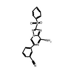 N#Cc1cccc(-c2cn3nc(S(=O)(=O)c4ccccc4)nc3c(N)n2)c1